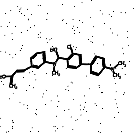 C=C(/C=C/c1cccc(N(C)C(O)c2ccc(-c3ccc(N(C)C)cc3)cc2Cl)c1)OC